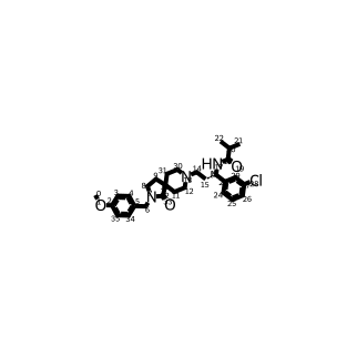 COc1ccc(CN2CCC3(CCN(CC[C@H](NC(=O)C(C)C)c4cccc(Cl)c4)CC3)C2=O)cc1